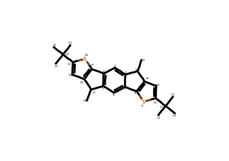 CC1c2cc3c(cc2-c2sc(C(C)(C)C)cc21)C(C)c1cc(C(C)(C)C)sc1-3